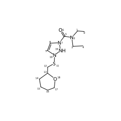 CCN(CC)C(=O)N1C=CN(SCC2CCCCO2)N1